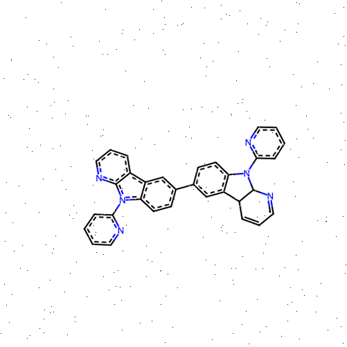 C1=CC2c3cc(-c4ccc5c(c4)c4cccnc4n5-c4ccccn4)ccc3N(c3ccccn3)C2N=C1